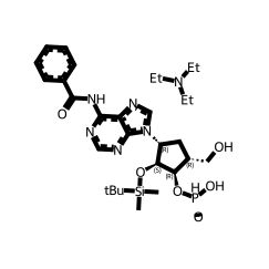 CC(C)(C)[Si](C)(C)O[C@@H]1[C@H](O[PH](=O)O)[C@@H](CO)C[C@H]1n1cnc2c(NC(=O)c3ccccc3)ncnc21.CCN(CC)CC